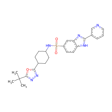 CC(C)(C)c1nnc(C2CCC(NS(=O)(=O)c3ccc4[nH]c(-c5cccnc5)nc4c3)CC2)o1